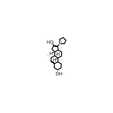 C[C@H]1C=C2C[C@@H](O)CC[C@]2(C)[C@H]2CC[C@]3(C)C(N4CCCC4)=C(O)C[C@H]3[C@H]12